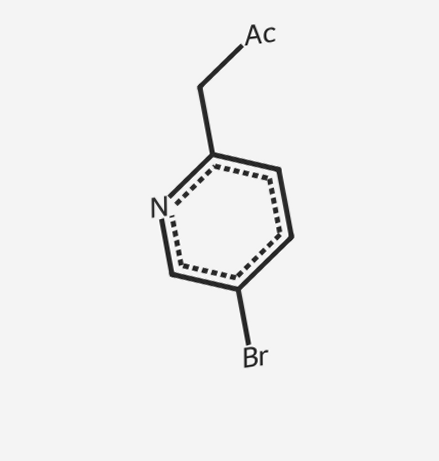 CC(=O)Cc1ccc(Br)cn1